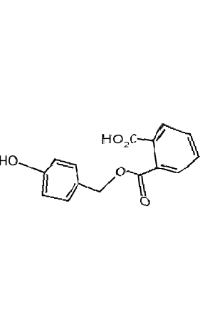 O=C(O)c1ccccc1C(=O)OCc1ccc(O)cc1